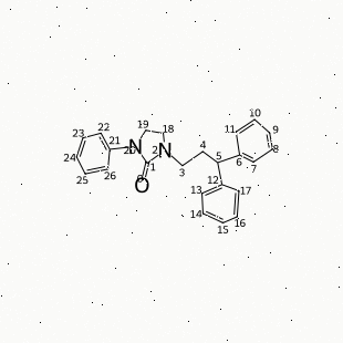 O=C1N(CCC(c2ccccc2)c2ccccc2)CCN1c1ccccc1